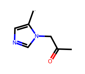 [CH2]c1cncn1CC(C)=O